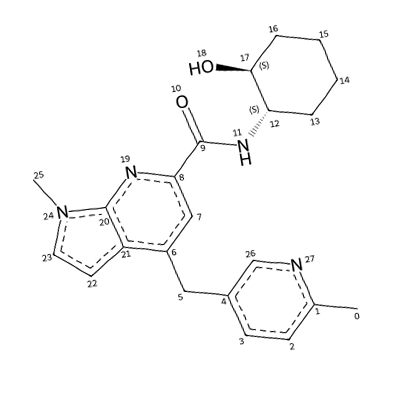 Cc1ccc(Cc2cc(C(=O)N[C@H]3CCCC[C@@H]3O)nc3c2ccn3C)cn1